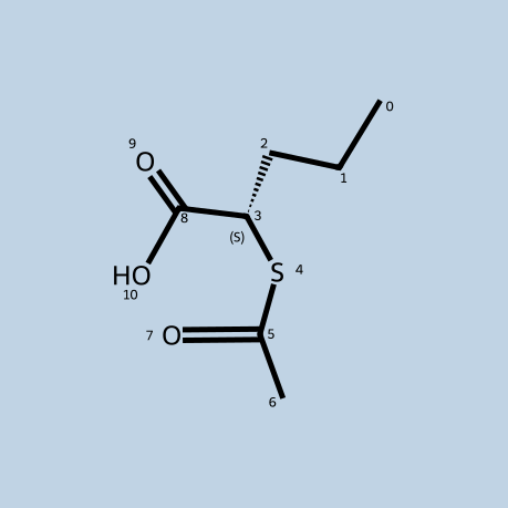 CCC[C@H](SC(C)=O)C(=O)O